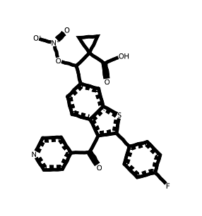 O=C(c1ccncc1)c1c(-c2ccc(F)cc2)sc2cc(C(O[N+](=O)[O-])C3(C(=O)O)CC3)ccc12